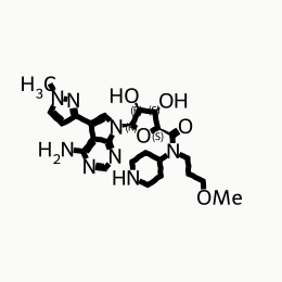 COCCCN(C(=O)[C@H]1O[C@@H](n2cc(-c3ccn(C)n3)c3c(N)ncnc32)[C@H](O)[C@@H]1O)C1CCNCC1